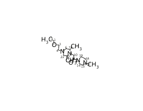 CCOCCN1CC(C)N(CC(=O)N2CCN(C)CC2)C(C)C1